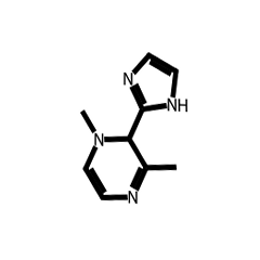 CC1=NC=CN(C)C1c1ncc[nH]1